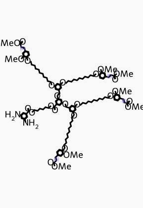 COC(=O)/C=C/c1ccc(OCCCCCCCCCCCOc2cc(COc3cc(OCc4cc(OCCCCCCCCCCCOc5ccc(/C=C/C(=O)OC)cc5OC)cc(OCCCCCCCCCCCOc5ccc(/C=C/C(=O)OC)cc5OC)c4)cc(C(=O)OCCCCCCOC(=O)c4cc(N)cc(N)c4)c3)cc(OCCCCCCCCCCCOc3ccc(/C=C/C(=O)OC)cc3OC)c2)c(OC)c1